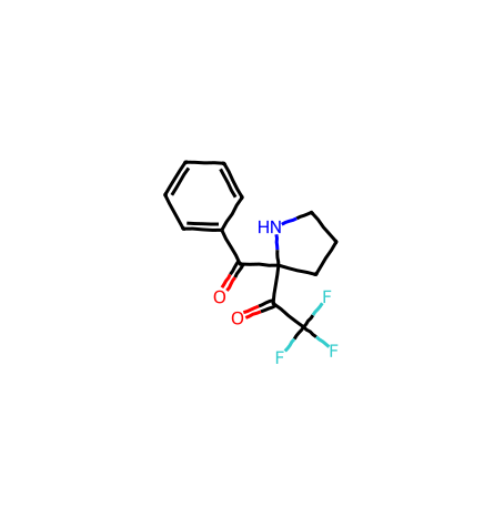 O=C(c1ccccc1)C1(C(=O)C(F)(F)F)CCCN1